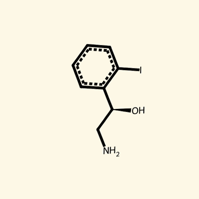 NC[C@H](O)c1ccccc1I